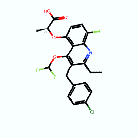 CCc1nc2c(F)ccc(O[C@@H](C)C(=O)O)c2c(OC(F)F)c1Cc1ccc(Cl)cc1